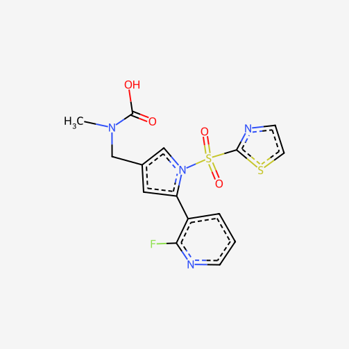 CN(Cc1cc(-c2cccnc2F)n(S(=O)(=O)c2nccs2)c1)C(=O)O